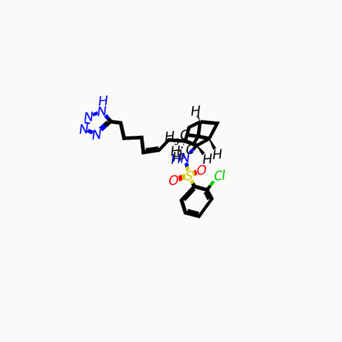 CC1(C)[C@H]2C[C@H](C/C=C\CCCc3nnn[nH]3)[C@@H](NS(=O)(=O)c3ccccc3Cl)[C@H]1C2